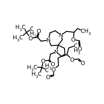 CCC(CN1CCN(CC(=O)OC(C)(C)C)CC(CCCCOC=O)(N(CC(=O)OC(C)(C)C)CC(CC)OC=O)C1)OC=O